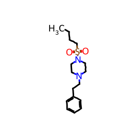 CCCCS(=O)(=O)N1CCN(CCc2ccccc2)CC1